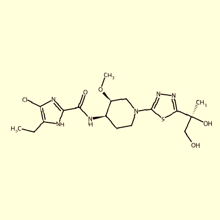 CCc1[nH]c(C(=O)N[C@@H]2CCN(c3nnc([C@@](C)(O)CO)s3)C[C@@H]2OC)nc1Cl